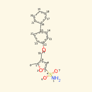 Cc1oc(S(N)(=O)=O)cc1COc1ccc(-c2ccccc2)cc1